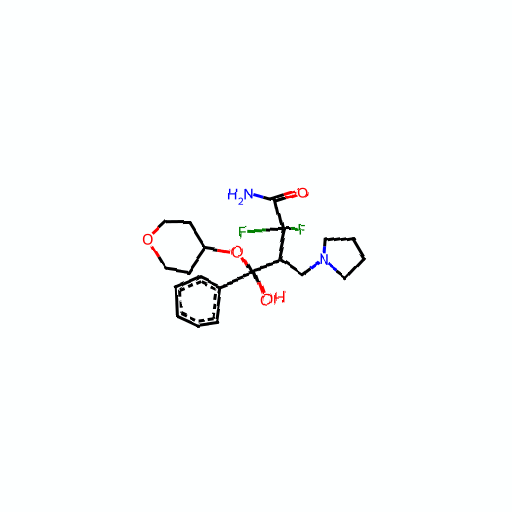 NC(=O)C(F)(F)C(CN1CCCC1)C(O)(OC1CCOCC1)c1ccccc1